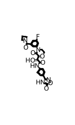 O=C(Nc1ccc(-c2noc(=O)[nH]2)cc1)[C@H](O)[C@H]1OCCN(c2cc(F)cc(C(=O)N3CCC3)c2)C1=O